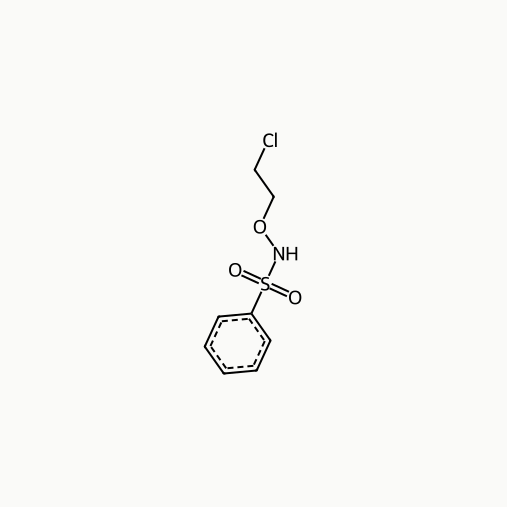 O=S(=O)(NOCCCl)c1ccccc1